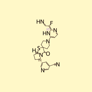 N#Cc1cncc([C@@H]2CC[C@H]3SC4(CCN(C5=CC=N/C(=C(\F)C=N)N5)CC4)C(=O)N32)c1